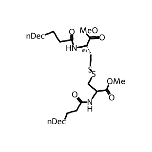 CCCCCCCCCCCCC(=O)NC(CSSC[C@H](NC(=O)CCCCCCCCCCCC)C(=O)OC)C(=O)OC